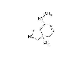 CNC1C=CCC2(C)CNCC12